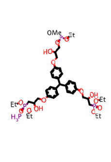 CCOP(OC)OCC(O)COc1ccc(C(c2ccc(OCC(O)CP(=O)(OCC)OCC)cc2)c2ccc(OCC(O)CP(=O)(OCC)OCC)cc2)cc1.P